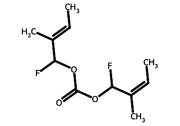 CC=C(C)C(F)OC(=O)OC(F)C(C)=CC